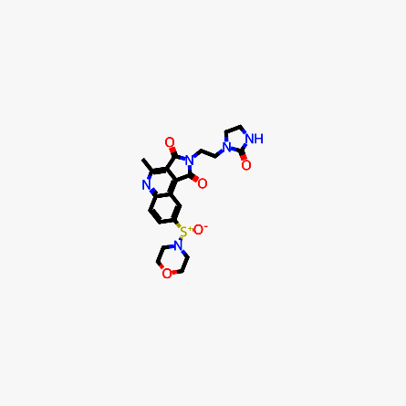 Cc1nc2ccc([S+]([O-])N3CCOCC3)cc2c2c1C(=O)N(CCN1CCNC1=O)C2=O